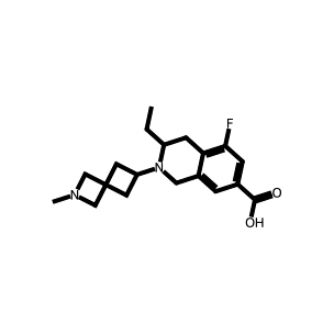 CCC1Cc2c(F)cc(C(=O)O)cc2CN1C1CC2(C1)CN(C)C2